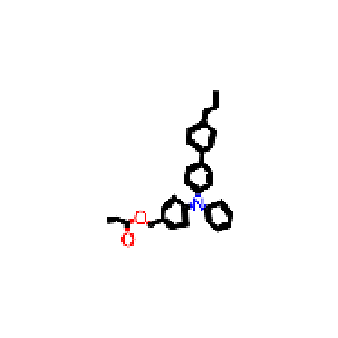 C=CC(=O)OCc1ccc(N(c2ccccc2)c2ccc(-c3ccc(CCC)cc3)cc2)cc1